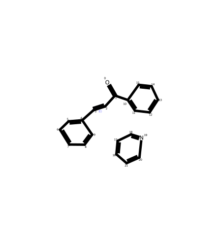 O=C(/C=C/c1ccccc1)c1ccccc1.c1ccncc1